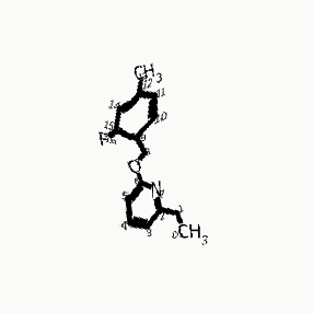 CCc1cccc(OCc2ccc(C)cc2F)n1